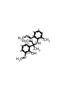 CCC(C)(Pc1c(C)cccc1/C=N/C)c1cccc(OC)c1O